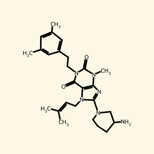 CC(C)=CCn1c(N2CCCC(N)C2)nc2c1c(=O)n(CCc1cc(C)cc(C)c1)c(=O)n2C